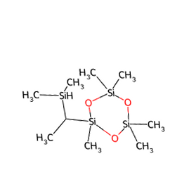 CC([SiH](C)C)[Si]1(C)O[Si](C)(C)O[Si](C)(C)O1